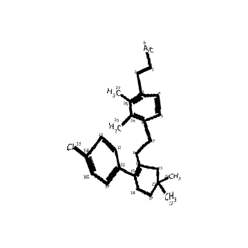 CC(=O)CCc1ccc(CCC2=C(c3ccc(Cl)cc3)CCC(C)(C)C2)c(C)c1C